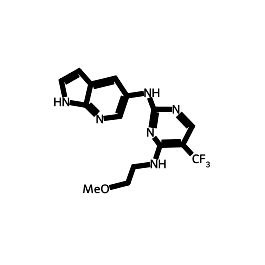 COCCNc1nc(Nc2cnc3[nH]ccc3c2)ncc1C(F)(F)F